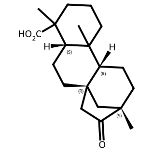 CC1(C(=O)O)CCCC2(C)[C@@H]1CC[C@@]13CC(=O)[C@@](C)(CC[C@@H]21)C3